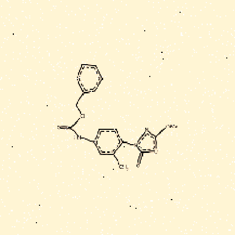 COc1nn(-c2ccc(NC(=O)OCc3ccccc3)cc2C)c(=O)o1